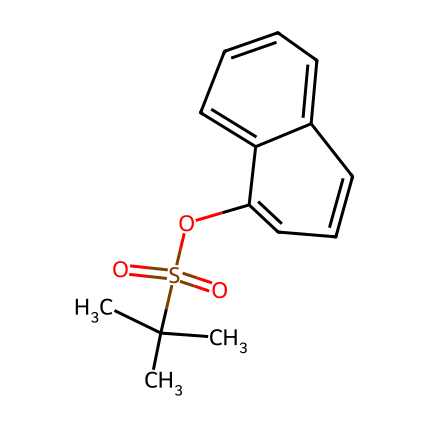 CC(C)(C)S(=O)(=O)Oc1cccc2ccccc12